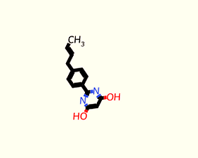 CC=CCc1ccc(-c2nc(O)cc(O)n2)cc1